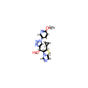 CC(C)Oc1ccc(-n2cc(C(O)c3c(C4CC4)sc4cncn34)nn2)cn1